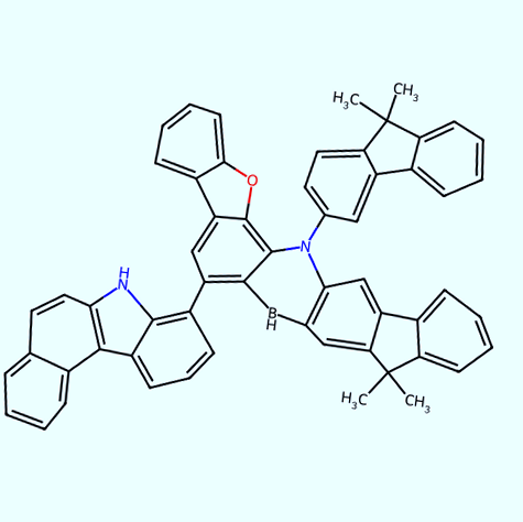 CC1(C)c2ccccc2-c2cc(N3c4cc5c(cc4Bc4c(-c6cccc7c6[nH]c6ccc8ccccc8c67)cc6c(oc7ccccc76)c43)C(C)(C)c3ccccc3-5)ccc21